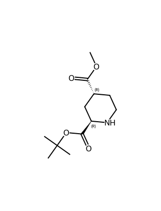 COC(=O)[C@@H]1CCN[C@@H](C(=O)OC(C)(C)C)C1